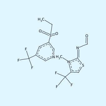 CCS(=O)(=O)c1cncc(C(F)(F)F)c1.Cn1c(C(F)(F)F)csc1=NC=O